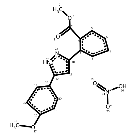 COC(=O)c1ccccc1-c1cc(-c2ccc(OC)cc2)[nH]n1.O=[N+]([O-])O